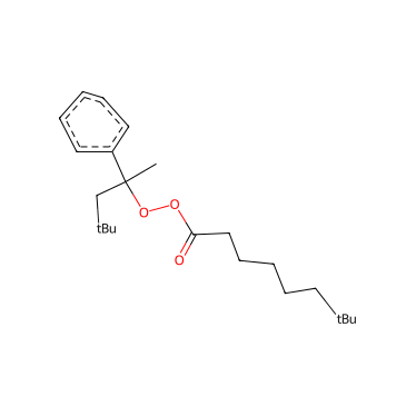 CC(C)(C)CCCCCC(=O)OOC(C)(CC(C)(C)C)c1ccccc1